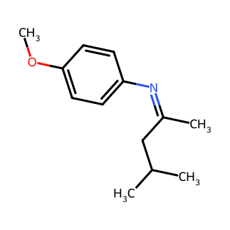 COc1ccc(N=C(C)CC(C)C)cc1